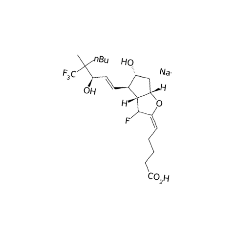 CCCCC(C)([C@H](O)C=C[C@@H]1[C@H]2C(F)C(=CCCCC(=O)O)O[C@H]2C[C@H]1O)C(F)(F)F.[Na]